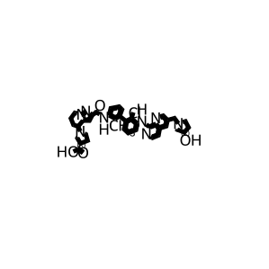 Cc1c(NC(=O)c2cc3n(n2)CCCC3N2CC[C@@H](C(=O)O)C2)cccc1-c1cccc(Nc2nccc3cc(CN4CC[C@@H](O)C4)cnc23)c1Cl